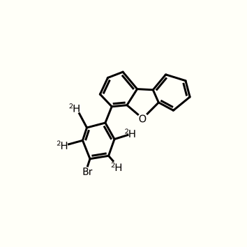 [2H]c1c([2H])c(-c2cccc3c2oc2ccccc23)c([2H])c([2H])c1Br